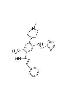 CN1CCN(c2cc(N)c(C(=N)/C=C/c3ccccc3)cc2NCc2nccs2)CC1